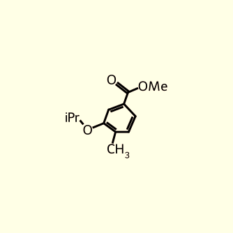 COC(=O)c1ccc(C)c(OC(C)C)c1